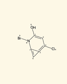 OC1=CC(Cl)=C2C=C2N1Br